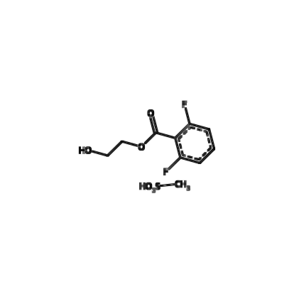 CS(=O)(=O)O.O=C(OCCO)c1c(F)cccc1F